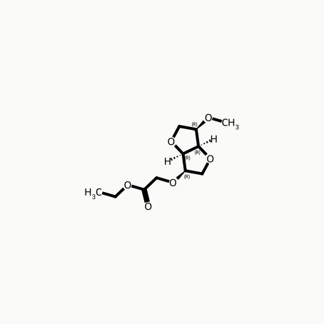 CCOC(=O)CO[C@@H]1CO[C@H]2[C@@H]1OC[C@H]2OC